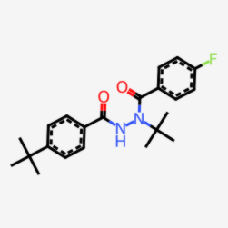 CC(C)(C)c1ccc(C(=O)NN(C(=O)c2ccc(F)cc2)C(C)(C)C)cc1